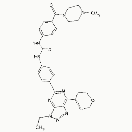 CCn1nnc2c(C3=CCOCC3)nc(-c3ccc(NC(=O)Nc4ccc(C(=O)N5CCN(C)CC5)cc4)cc3)nc21